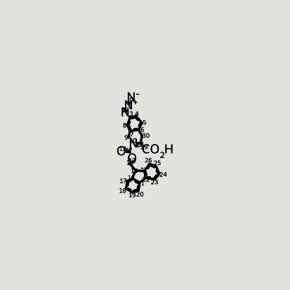 [N-]=[N+]=Nc1ccc2c(c1)CN(C(=O)OCC1c3ccccc3-c3ccccc31)[C@H](C(=O)O)C2